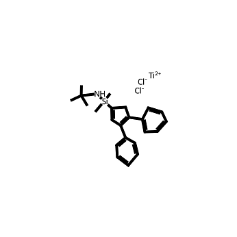 CC(C)(C)N[Si](C)(C)C1=CC(c2ccccc2)=C(c2ccccc2)C1.[Cl-].[Cl-].[Ti+2]